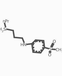 CCC[SiH2]CCCNc1ccc(S(C)(=O)=O)cc1